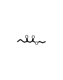 CCCOC(=O)CC(=O)CCC